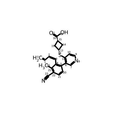 C=C/C=C\c1c(-c2cnccc2S[C@H]2C[C@H](C(=O)O)C2)ccc(C#N)c1C